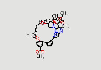 CCOC(=O)[C@@H](OC(C)(C)C)c1c(C)nc2cc3nn2c1N1CCC(C)(CC1)OCCCC[C@H](C)Oc1ccc(C(=O)OC)cc1-c1cccc-3c1